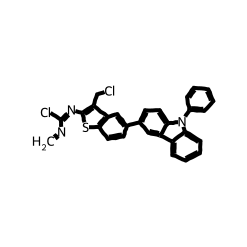 C=N/C(Cl)=N\c1sc2ccc(-c3ccc4c(c3)c3ccccc3n4-c3ccccc3)cc2c1CCl